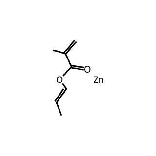 C=C(C)C(=O)OC=CC.[Zn]